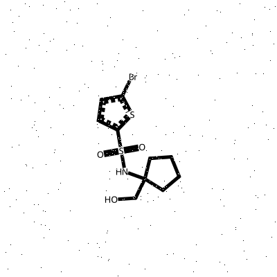 O=S(=O)(NC1(CO)CCCC1)c1ccc(Br)s1